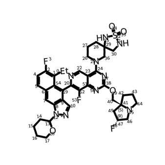 CCc1c(F)ccc2cc3c(cnn3C3CCCCO3)c(-c3ncc4c(N5CCCC6(CNS(=O)(=O)N6)C5)nc(OC[C@@]56CCCN5C[C@H](F)C6)nc4c3F)c12